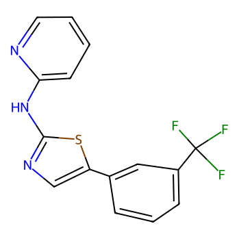 FC(F)(F)c1cccc(-c2cnc(Nc3ccccn3)s2)c1